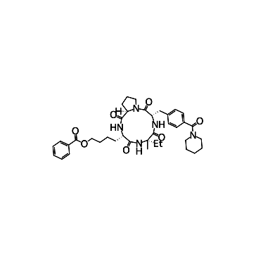 CC[C@]1(C)NC(=O)[C@H](CCCCOC(=O)c2ccccc2)NC(=O)[C@H]2CCCN2C(=O)[C@H](Cc2ccc(C(=O)N3CCCCC3)cc2)NC1=O